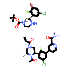 C=CC(=O)N1C[C@@H](C)N(C(C)=O)[C@H](c2cc(Cl)cc(-c3ccnc(C(=O)NC)c3)c2F)C1.C[C@@H]1CN(C(=O)OC(C)(C)C)C[C@@H](c2cc(Cl)cc(Br)c2F)N1